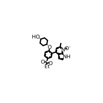 CCS(=O)(=O)c1ccc(O[C@H]2CC[C@@H](O)CC2)c(-c2cc(C)[n+]([O-])c3[nH]ccc23)c1